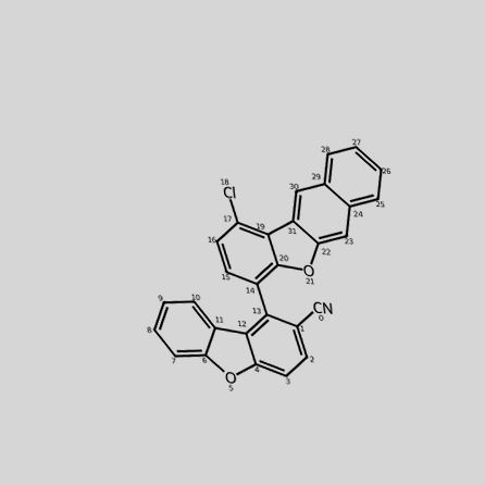 N#Cc1ccc2oc3ccccc3c2c1-c1ccc(Cl)c2c1oc1cc3ccccc3cc12